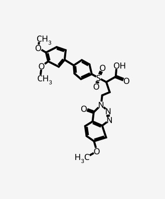 COc1ccc2c(=O)n(CCC(C(=O)O)S(=O)(=O)c3ccc(-c4ccc(OC)c(OC)c4)cc3)nnc2c1